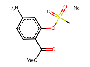 COC(=O)c1ccc([N+](=O)[O-])cc1OS(C)(=O)=O.[Na]